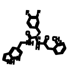 Cc1ccccc1CC(=O)N[C@@H](Cc1ccc(F)c(F)c1)C(=O)NCc1cnc2[nH]ccc2c1